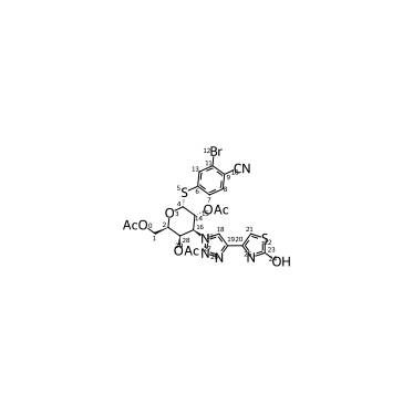 CC(=O)OC[C@H]1O[C@H](Sc2ccc(C#N)c(Br)c2)[C@H](OC(C)=O)[C@@H](n2cc(-c3csc(O)n3)nn2)[C@H]1OC(C)=O